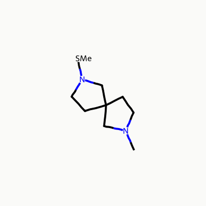 CSN1CCC2(CCN(C)C2)C1